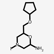 NC1CN(I)CC(COC2CCCC2)O1